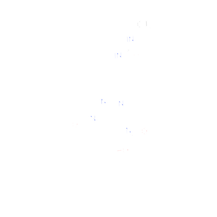 CCNC(=O)Nc1ccc(-c2nc3c(c(N4CCOCC4)n2)CCN(C(=O)[C@@H](O)c2ccccc2)C3)cc1